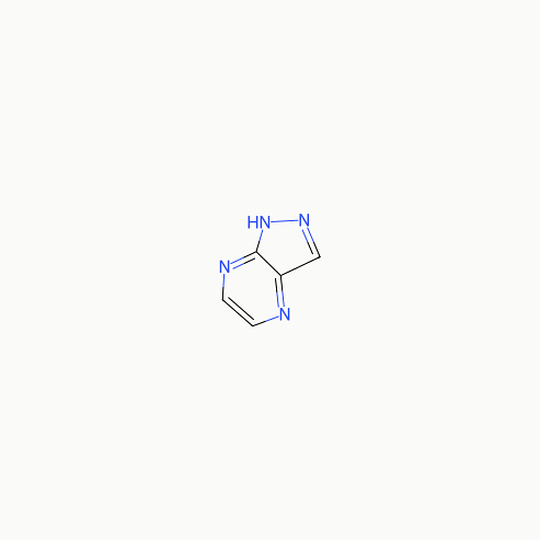 c1cnc2[nH]ncc2n1